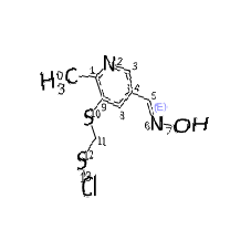 Cc1ncc(/C=N/O)cc1SCSCl